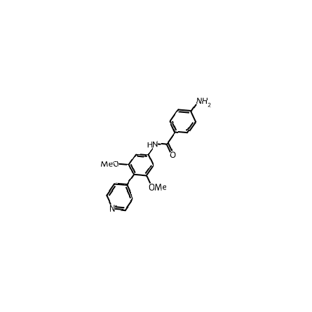 COc1cc(NC(=O)c2ccc(N)cc2)cc(OC)c1-c1ccncc1